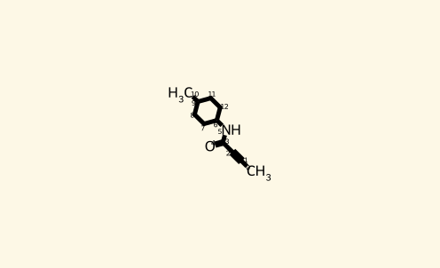 CC#CC(=O)NC1CCC(C)CC1